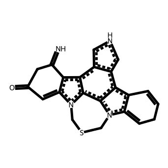 N=C1CC(=O)C=c2c1c1c3c[nH]cc3c3c4c(n5c3c1n2CSC5)=CCC=C4